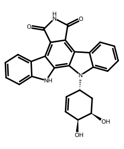 O=C1NC(=O)c2c1c1c3ccccc3[nH]c1c1c2c2ccccc2n1[C@H]1C=C[C@H](O)[C@H](O)C1